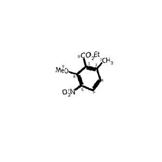 CCOC(=O)c1c(C)ccc([N+](=O)[O-])c1OC